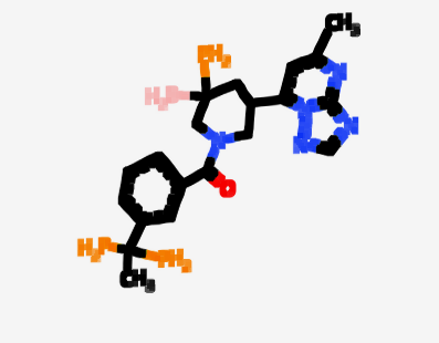 BC1(P)CC(c2cc(C)nc3ncnn23)CN(C(=O)c2cccc(C(C)(P)P)c2)C1